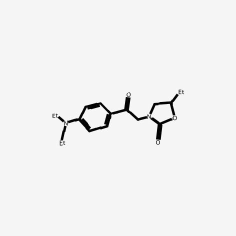 CCC1CN(CC(=O)c2ccc(N(CC)CC)cc2)C(=O)O1